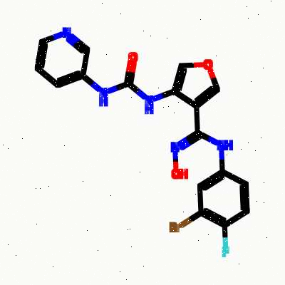 O=C(Nc1cccnc1)Nc1cocc1/C(=N/O)Nc1ccc(F)c(Br)c1